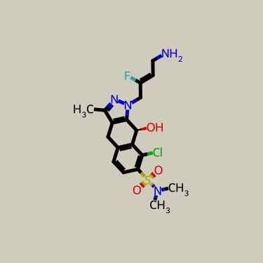 Cc1nn(C/C(F)=C/CN)c2c1Cc1ccc(S(=O)(=O)N(C)C)c(Cl)c1[C@@H]2O